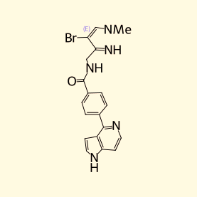 CN/C=C(/Br)C(=N)CNC(=O)c1ccc(-c2nccc3[nH]ccc23)cc1